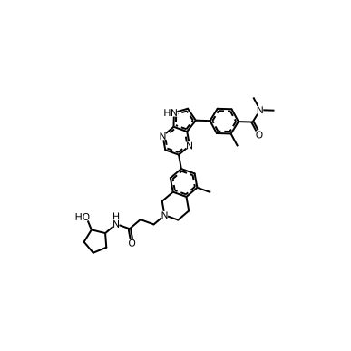 Cc1cc(-c2c[nH]c3ncc(-c4cc(C)c5c(c4)CN(CCC(=O)NC4CCCC4O)CC5)nc23)ccc1C(=O)N(C)C